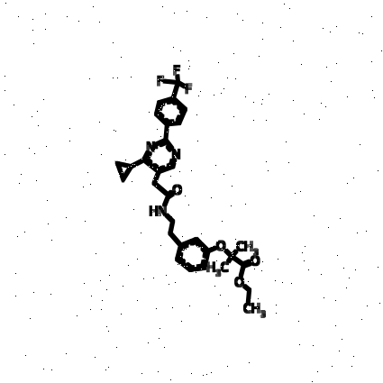 CCOC(=O)C(C)(C)Oc1cccc(CCNC(=O)Cc2cnc(-c3ccc(C(F)(F)F)cc3)nc2C2CC2)c1